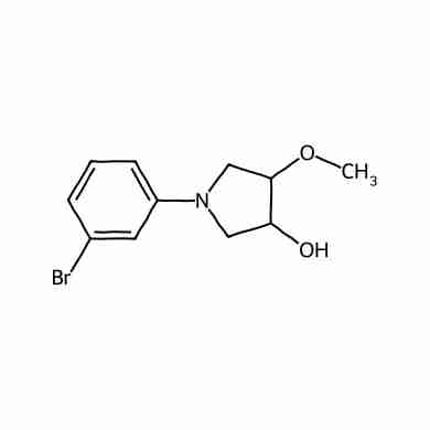 COC1CN(c2cccc(Br)c2)CC1O